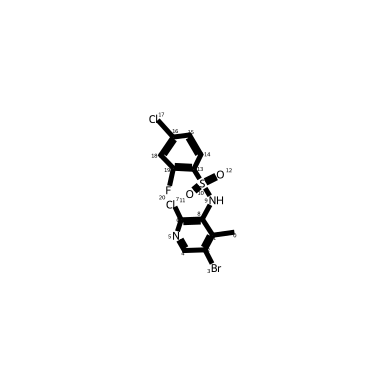 Cc1c(Br)cnc(Cl)c1NS(=O)(=O)c1ccc(Cl)cc1F